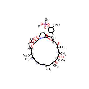 COC1CC(C[C@H]2C3CCCN4C(=O)C(=O)C5(O)O[C@@H](CCC5C)C[C@H](OC)/C(C)=C/C=C/C=C/[C@@H](C)CC(C)C(=O)[C@H](OC)C(O)/C(C)=C/[C@@H](C)C(=O)C[C@@H]2OC(=O)C34)CC[C@H]1OP(C)(=O)OC(C)C